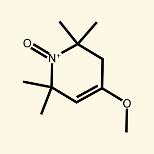 COC1=CC(C)(C)[N+](=O)C(C)(C)C1